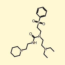 CCN(CC)CCN(CCS(=O)(=O)c1ccccc1)C(=O)NCCN1CCCCC1